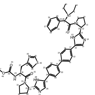 CCN(CC)[C@@H](C(=O)N1CCC[C@H]1c1ncc(-c2ccc(-c3ccc(-c4cnc([C@@H]5CCCN5C(=O)[C@H](Cc5cscn5)NC(=O)OC)[nH]4)cc3)cc2)[nH]1)c1ccccc1